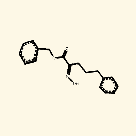 O=C(OCc1ccccc1)C(CCCc1ccccc1)=NO